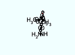 CCOC(=O)C=C(C)N(CC(=O)OCc1ccccc1)C(=O)C(C)=Cc1ccc(C(=O)Oc2ccc(C(=N)N)cc2)cc1